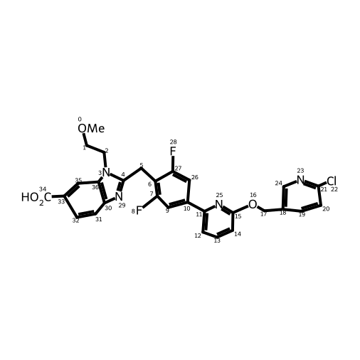 COCCn1c(Cc2c(F)cc(-c3cccc(OCc4ccc(Cl)nc4)n3)cc2F)nc2ccc(C(=O)O)cc21